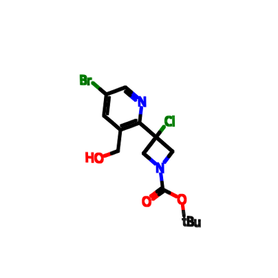 CC(C)(C)OC(=O)N1CC(Cl)(c2ncc(Br)cc2CO)C1